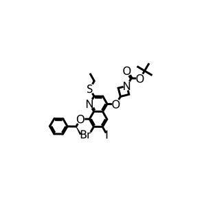 CCSc1cc(OC2CN(C(=O)OC(C)(C)C)C2)c2cc(I)c(Br)c(O[C@@H](C)c3ccccc3)c2n1